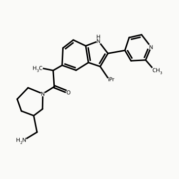 Cc1cc(-c2[nH]c3ccc(C(C)C(=O)N4CCCC(CN)C4)cc3c2C(C)C)ccn1